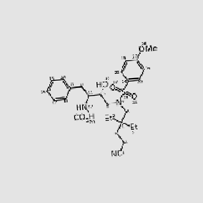 CCC(CC)(CCC#N)CN(C[C@@H](O)[C@H](Cc1ccccc1)NC(=O)O)S(=O)(=O)c1ccc(OC)cc1